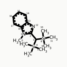 Cn1c(C([Si](C)(C)C)[Si](C)(C)C)nc2ccccc21